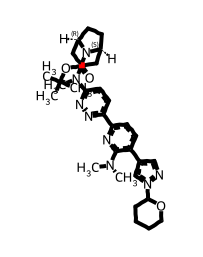 CN(C)c1nc(-c2ccc(N(C)C3C[C@H]4CC[C@@H](C3)N4C(=O)OC(C)(C)C)nn2)ccc1-c1cnn(C2CCCCO2)c1